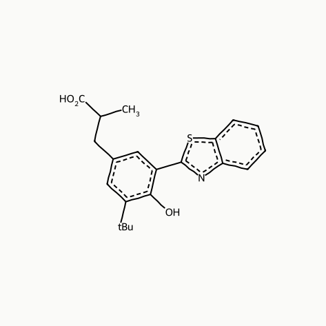 CC(Cc1cc(-c2nc3ccccc3s2)c(O)c(C(C)(C)C)c1)C(=O)O